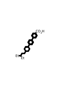 CCC(CC)CCC1CC=C(c2ccc(-c3ccc(C(=O)O)cc3)cc2)CC1